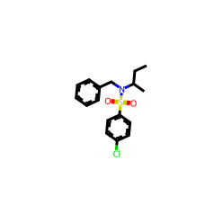 CCC(C)N(Cc1ccccc1)S(=O)(=O)c1ccc(Cl)cc1